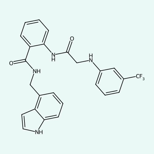 O=C(CNc1cccc(C(F)(F)F)c1)Nc1ccccc1C(=O)NCc1cccc2[nH]ccc12